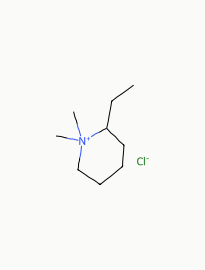 CCC1CCCC[N+]1(C)C.[Cl-]